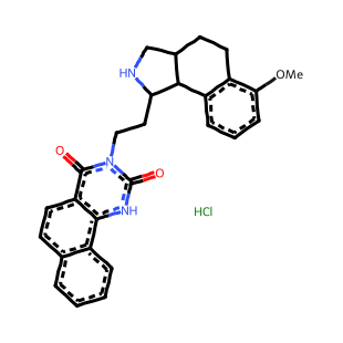 COc1cccc2c1CCC1CNC(CCn3c(=O)[nH]c4c(ccc5ccccc54)c3=O)C21.Cl